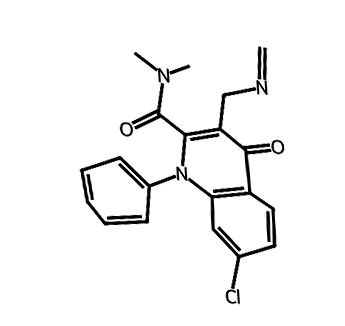 C=NCc1c(C(=O)N(C)C)n(-c2ccccc2)c2cc(Cl)ccc2c1=O